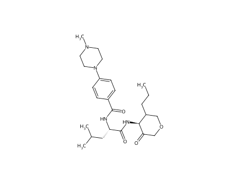 CCCC1COCC(=O)[C@H]1NC(=O)[C@H](CC(C)C)NC(=O)c1ccc(N2CCN(C)CC2)cc1